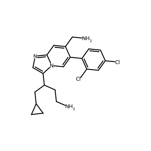 NCCC(CC1CC1)c1cnc2cc(CN)c(-c3ccc(Cl)cc3Cl)cn12